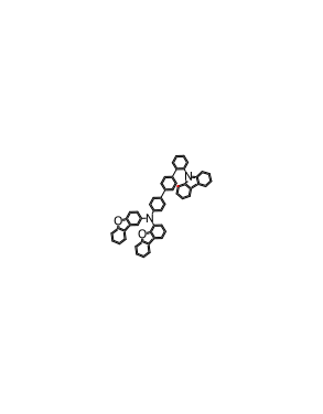 c1ccc(-n2c3ccccc3c3ccccc32)c(-c2ccc(-c3ccc(N(c4ccc5oc6ccccc6c5c4)c4cccc5c4oc4ccccc45)cc3)cc2)c1